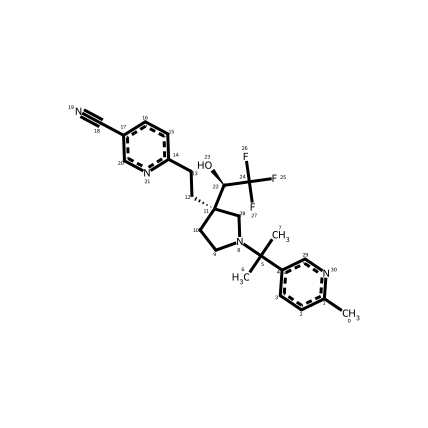 Cc1ccc(C(C)(C)N2CC[C@@](CCc3ccc(C#N)cn3)([C@@H](O)C(F)(F)F)C2)cn1